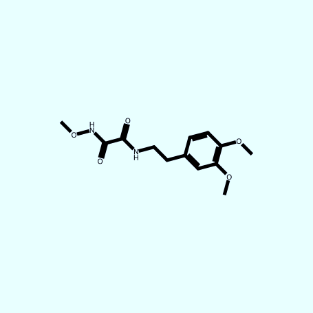 CONC(=O)C(=O)NCCc1ccc(OC)c(OC)c1